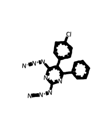 [N-]=[N+]=Nc1nc(N=[N+]=[N-])c(-c2ccc(Cl)cc2)c(-c2ccccc2)n1